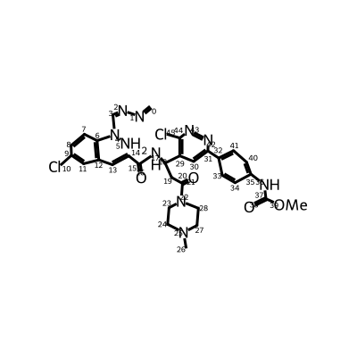 C=N/N=C\N(N)c1ccc(Cl)cc1/C=C/C(=O)NC(CC(=O)N1CCN(C)CC1)c1cc(-c2ccc(NC(=O)OC)cc2)nnc1Cl